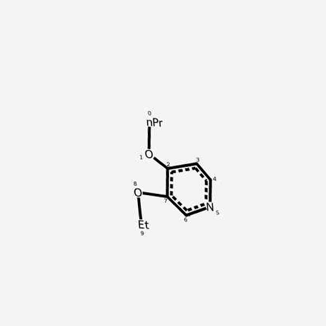 CCCOc1ccn[c]c1OCC